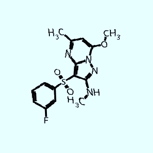 CNc1nn2c(OC)cc(C)nc2c1S(=O)(=O)c1cccc(F)c1